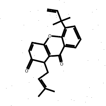 C=CC(C)(C)c1cccc2c(=O)c3c(oc12)C=CC(=O)C3CC=C(C)C